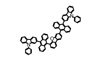 c1ccc(-n2c3ccccc3c3ccc(-c4c5ccccc5c(-c5ccc6c(c5)oc5c(-c7c8ccccc8c(-c8ccc9c%10ccccc%10n(-c%10ccccc%10)c9c8)c8ccccc78)cccc56)c5ccccc45)cc32)cc1